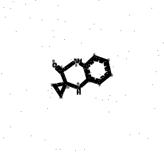 O=C1Nc2ccccc2NC12CC2